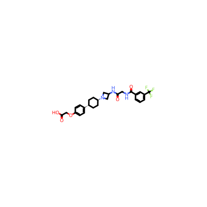 O=C(O)COc1ccc([C@H]2CC[C@@H](N3CC(NC(=O)CNC(=O)c4cccc(C(F)(F)F)c4)C3)CC2)cc1